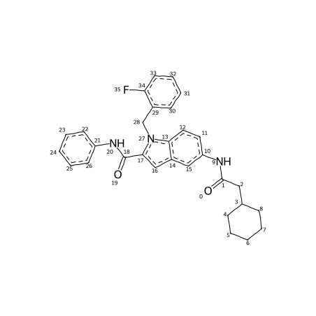 O=C(CC1CCCCC1)Nc1ccc2c(c1)cc(C(=O)Nc1ccccc1)n2Cc1ccccc1F